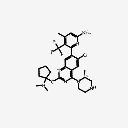 Cc1cc(N)nc(-c2cc3nc(OC4(N(C)C)CCCC4)nc(N4CCNC[C@@H]4C)c3cc2Cl)c1C(F)(F)F